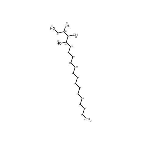 CCCCCCCCCCCCCCCC(O)C(O)C(C)CO